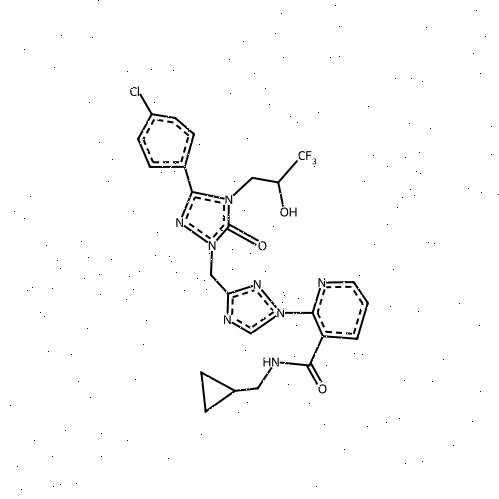 O=C(NCC1CC1)c1cccnc1-n1cnc(Cn2nc(-c3ccc(Cl)cc3)n(CC(O)C(F)(F)F)c2=O)n1